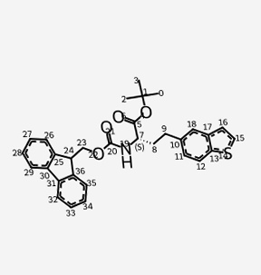 CC(C)(C)OC(=O)[C@H](CCc1ccc2sccc2c1)NC(=O)OCC1c2ccccc2-c2ccccc21